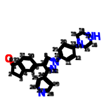 O=C1CCc2cc(-c3cn(-c4ccc(N5CCNCC5)cc4)nc3-c3ccncc3)ccc21